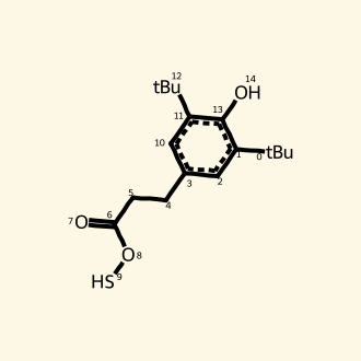 CC(C)(C)c1cc(CCC(=O)OS)cc(C(C)(C)C)c1O